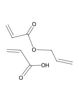 C=CC(=O)O.C=CCOC(=O)C=C